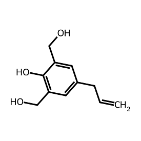 C=CCc1cc(CO)c(O)c(CO)c1